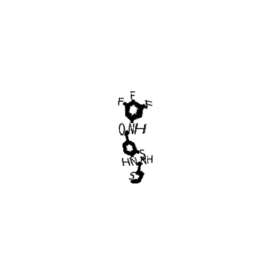 O=C(Nc1cc(F)c(F)c(F)c1)c1ccc2c(c1)SNC(c1cccs1)N2